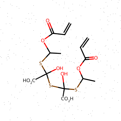 C=CC(=O)OC(C)SC(O)(SC(O)(SC(C)OC(=O)C=C)C(=O)O)C(=O)O